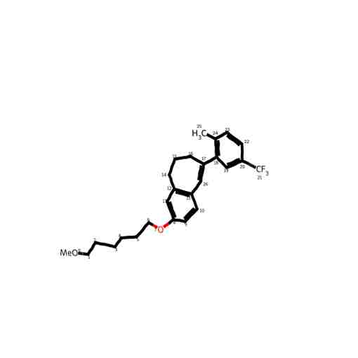 COCCCCCCOc1ccc2c(c1)CCCC(c1cc(C(F)(F)F)ccc1C)=C2